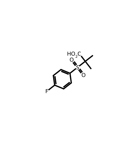 CC(C)(C(=O)O)S(=O)(=O)c1ccc(F)cc1